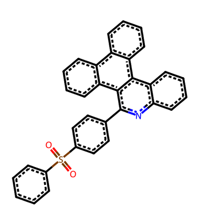 O=S(=O)(c1ccccc1)c1ccc(-c2nc3ccccc3c3c4ccccc4c4ccccc4c23)cc1